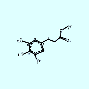 CC(C)OC(=O)CCc1cc(C(C)C)c(O)c(C(C)(C)C)c1